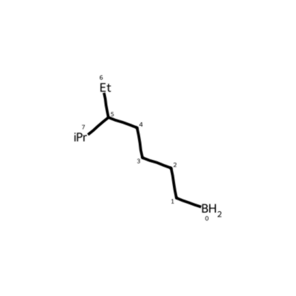 BCCCCC(CC)C(C)C